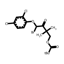 CC(C)(C)C(=O)OCC(C)(C)C(=O)C(Br)Oc1ccc(Cl)cc1Cl